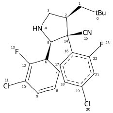 CC(C)(C)C[C@@H]1CN[C@H](C2CC=CC(Cl)=C2F)[C@@]1(C#N)c1ccc(Cl)cc1F